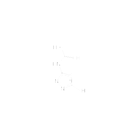 CC(C)Nc1nnc(S)s1